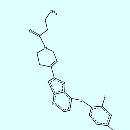 CCCC(=O)N1CC=C(c2cc3nccc(Oc4ccc(N)cc4F)c3s2)CC1